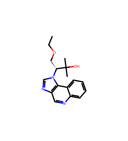 CCOC[C@@H](n1cnc2cnc3ccccc3c21)C(C)(C)O